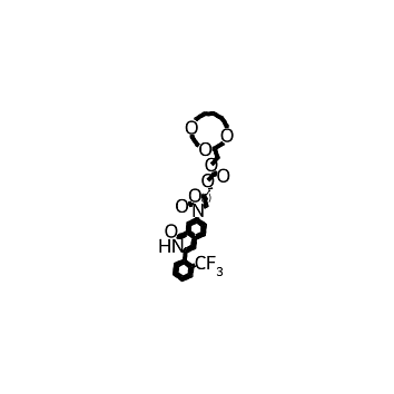 O=C(OCC1COCCCCCOCCO1)OC[C@@H]1CN(c2ccc3cc(-c4ccccc4C(F)(F)F)[nH]c(=O)c3c2)C(=O)O1